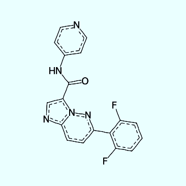 O=C(Nc1ccncc1)c1cnc2ccc(-c3c(F)cccc3F)nn12